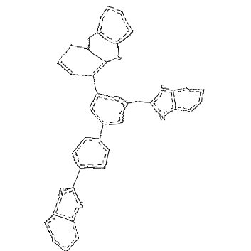 C1=CC(c2cc(-c3ccc(-c4nc5ccccc5s4)cc3)cc(-c3nc4ccccc4s3)c2)=C2Sc3ccccc3C2C1